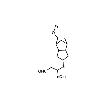 CCCCCCCCC(CC=O)SC1CC2C3CC(OCC)C(C3)C2C1